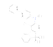 CC(C)c1c(N(c2ccc(-c3ccccc3)cc2)C(C)C)ccc2c1-c1ccccc1C2(C)C